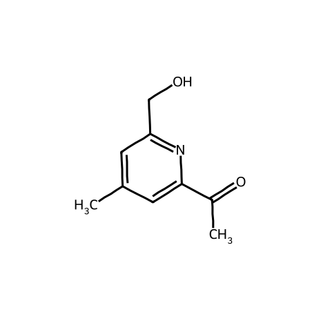 CC(=O)c1cc(C)cc(CO)n1